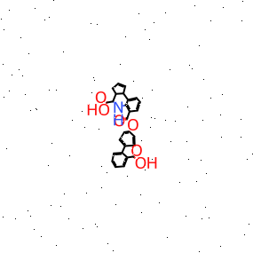 O=C(O)c1ccccc1-c1ccc(OC(=O)c2cccc3c2NC(C(=O)O)C2CC=CC32)cc1